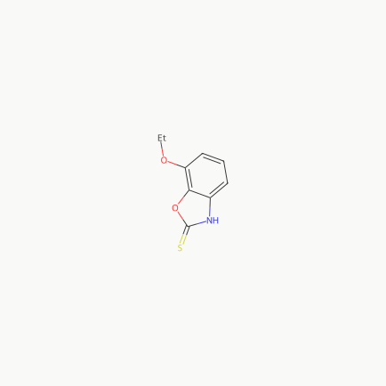 CCOc1cccc2[nH]c(=S)oc12